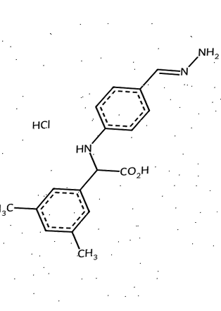 Cc1cc(C)cc(C(Nc2ccc(C=NN)cc2)C(=O)O)c1.Cl